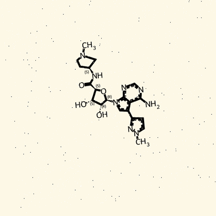 CN1CC[C@H](NC(=O)[C@H]2O[C@@H](n3cc(-c4ccn(C)n4)c4c(N)ncnc43)[C@H](O)[C@@H]2O)C1